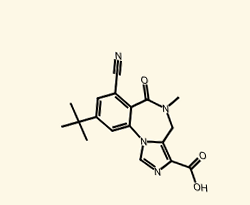 CN1Cc2c(C(=O)O)ncn2-c2cc(C(C)(C)C)cc(C#N)c2C1=O